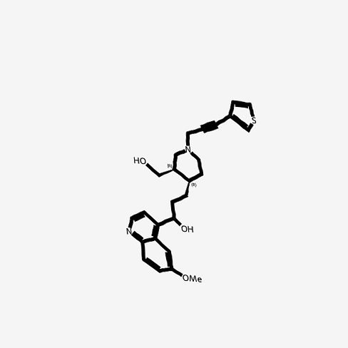 COc1ccc2nccc(C(O)CC[C@@H]3CCN(CC#Cc4ccsc4)C[C@@H]3CO)c2c1